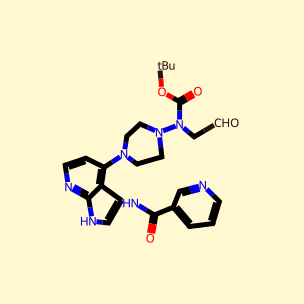 CC(C)(C)OC(=O)N(CC=O)N1CCN(c2ccnc3[nH]cc(NC(=O)c4cccnc4)c23)CC1